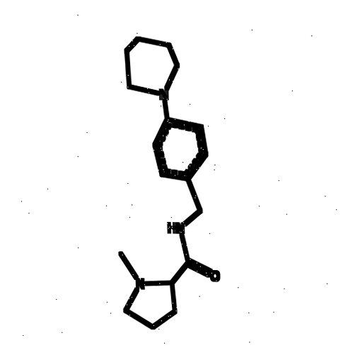 CN1CCCC1C(=O)NCc1ccc(N2CCCCC2)cc1